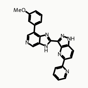 COc1cccc(-c2cncc3[nH]c(-c4n[nH]c5ccc(-c6ccccn6)nc45)nc23)c1